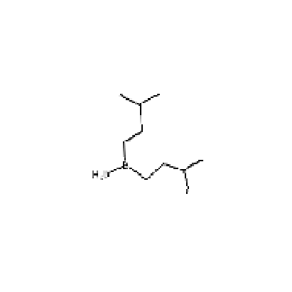 BB(CCC(C)C)CCC(C)C